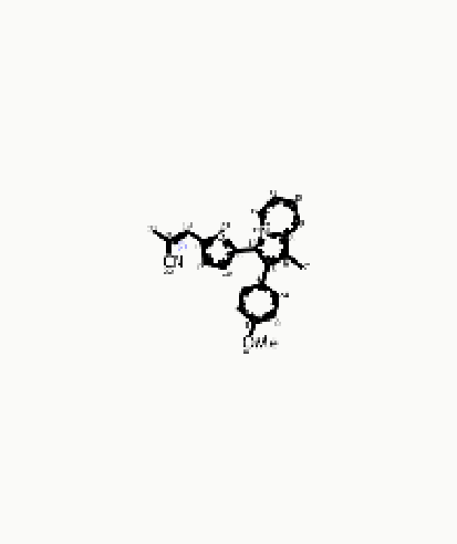 COc1ccc(-c2c(C)c3ccccn3c2-c2ccc(/C=C(/C)C#N)s2)cc1